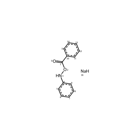 O=C(ONc1ccccc1)c1ccccc1.[NaH]